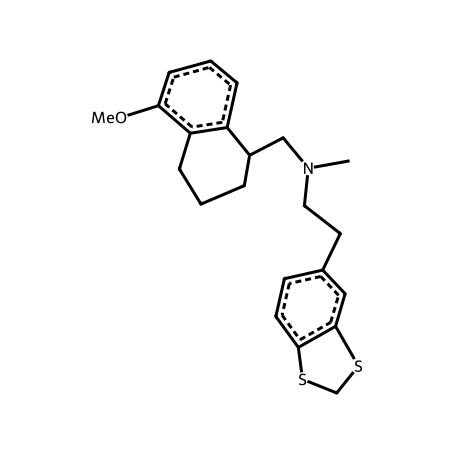 COc1cccc2c1CCCC2CN(C)CCc1ccc2c(c1)SCS2